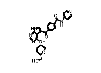 O=C(Nc1ccncc1)c1ccc(C(=O)c2c[nH]c3ncnc(N[C@H]4CC[C@H](CO)OC4)c23)cc1